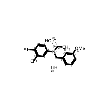 COc1cccc(CN(c2ccc(F)c(Cl)c2)[C@@H](C)C(=O)O)c1.[LiH]